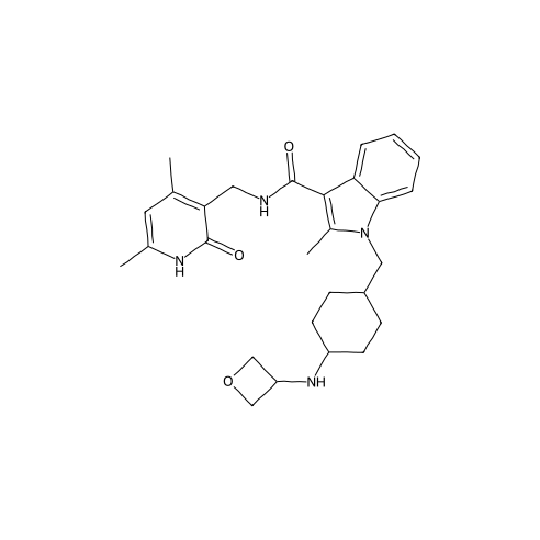 Cc1cc(C)c(CNC(=O)c2c(C)n(CC3CCC(NC4COC4)CC3)c3ccccc23)c(=O)[nH]1